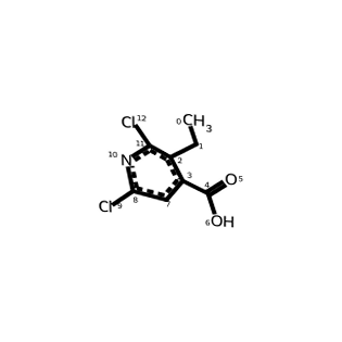 CCc1c(C(=O)O)cc(Cl)nc1Cl